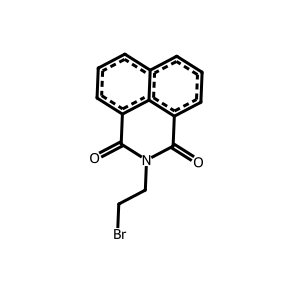 O=C1c2cccc3cccc(c23)C(=O)N1CCBr